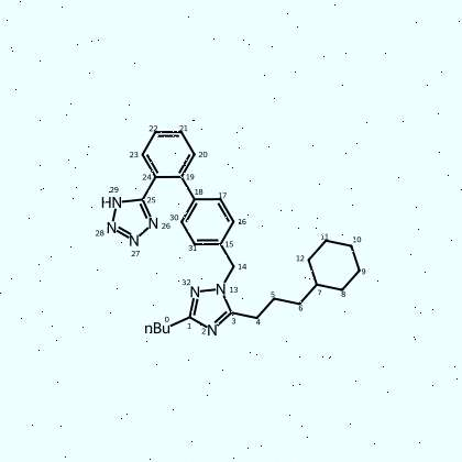 CCCCc1nc(CCCC2CCCCC2)n(Cc2ccc(-c3ccccc3-c3nnn[nH]3)cc2)n1